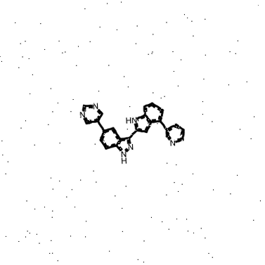 c1cncc(-c2cccc3[nH]c(-c4n[nH]c5ccc(-c6cncnc6)cc45)cc23)c1